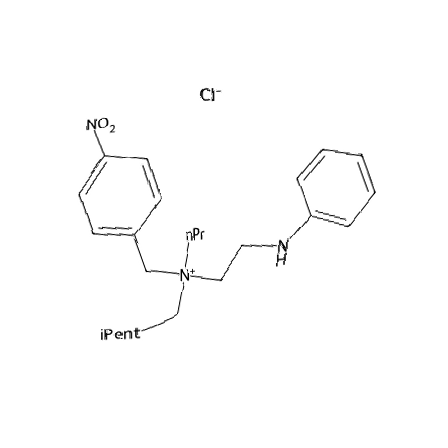 CCCC(C)C[N+](CCC)(CCNc1ccccc1)Cc1ccc([N+](=O)[O-])cc1.[Cl-]